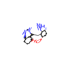 Nc1cccc(O)c1-c1ncnc2ccccc12